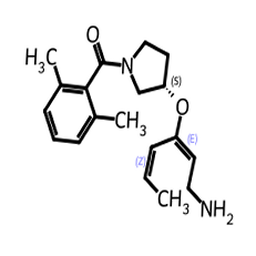 C/C=C\C(=C/CN)O[C@H]1CCN(C(=O)c2c(C)cccc2C)C1